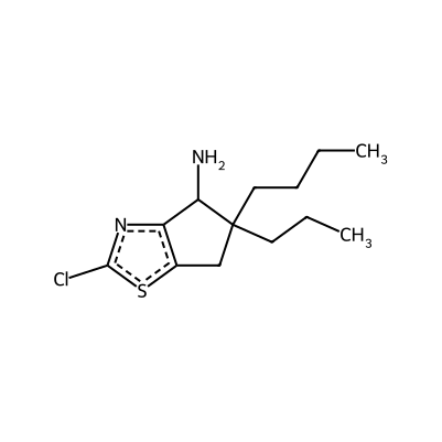 CCCCC1(CCC)Cc2sc(Cl)nc2C1N